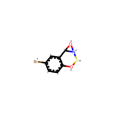 Brc1ccc2c(c1)C1ON1SO2